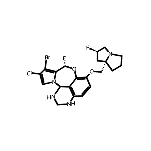 F[C@H]1CN2CCC[C@@]2(COc2ccc3c4c2O[C@@H](F)c2c(Br)c(Cl)cn2C4NCN3)C1